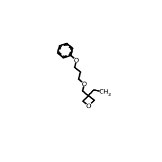 CCC1(COCCCOc2ccccc2)COC1